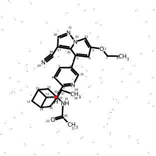 CCOc1cc(-c2ccc(NC3C4CC3CC(CC)(NC(C)=O)C4)nc2)c2c(C#N)cnn2c1